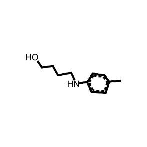 Cc1ccc(NCCCCO)cc1